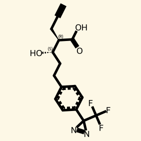 C#CC[C@@H](C(=O)O)[C@@H](O)CCc1ccc(C2(C(F)(F)F)N=N2)cc1